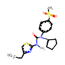 CN(C(=O)N(c1ccc(S(C)(=O)=O)cc1)C1CCCC1)c1nc(CC(=O)O)cs1